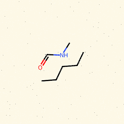 CN[C]=O.[CH2]CCCC